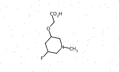 CN1CC(F)CC(OCC(=O)O)C1